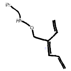 C=C/C=C(\C=C)CONCC(C)C